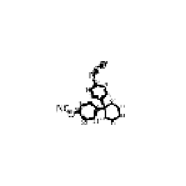 N#COc1ccc(C2(c3ccc(N=C=O)cc3)CCCCC2)cc1